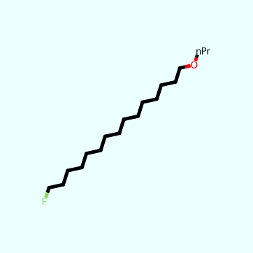 CCCOCCCCCCCCCCCCCCCF